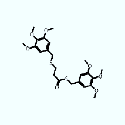 COc1cc(CSCCC(=O)SCc2cc(OC)c(OC)c(OC)c2)cc(OC)c1OC